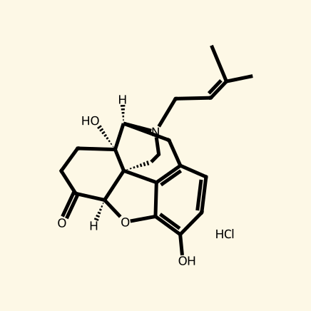 CC(C)=CCN1CC[C@]23c4c5ccc(O)c4O[C@H]2C(=O)CC[C@@]3(O)[C@H]1C5.Cl